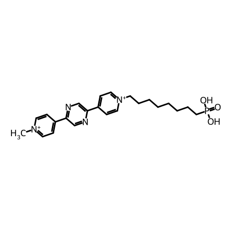 C[n+]1ccc(-c2cnc(-c3cc[n+](CCCCCCCCP(=O)(O)O)cc3)cn2)cc1